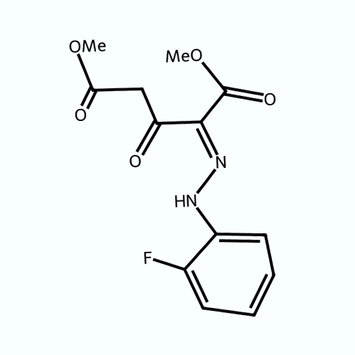 COC(=O)CC(=O)/C(=N\Nc1ccccc1F)C(=O)OC